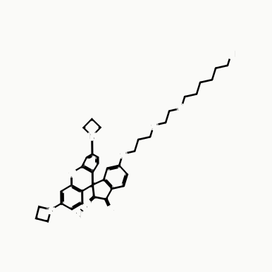 [N-]=[N+]=C1C(=O)c2ccc(OCCCOCCOCCCCCCCl)cc2C12c1ccc(N3CCC3)cc1Oc1cc(N3CCC3)ccc12